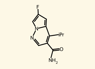 CC(C)c1c(C(N)=O)cnn2cc(F)cc12